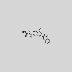 O=C(O)C(=O)Nc1ccc2c(=O)n3c(nc2c1)/C(=C/c1ccccc1Cl)CC3